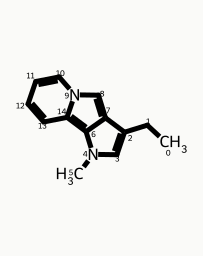 CCc1cn(C)c2c1cn1ccccc21